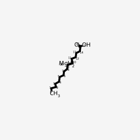 CCCCCCCCCCCCCCCC(=O)O.[MgH2]